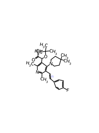 Cc1nc(C)c(C(OC(C)(C)C)C(=O)O)c(N2CCC(C)(C)CC2)c1/C=C/c1ccc(F)cc1